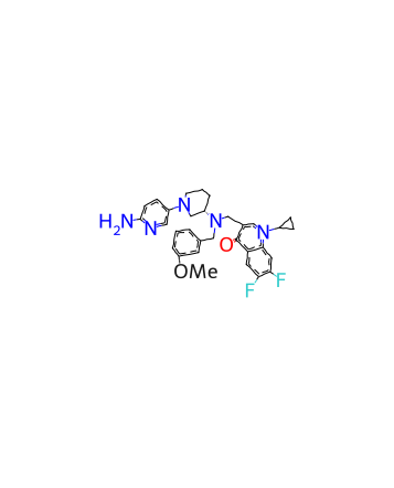 COc1cccc(CN(Cc2cn(C3CC3)c3cc(F)c(F)cc3c2=O)[C@H]2CCCN(c3ccc(N)nc3)C2)c1